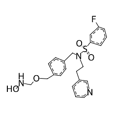 O=S(=O)(c1cccc(F)c1)N(CCc1cccnc1)Cc1ccc(COCNO)cc1